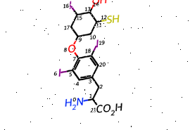 NC(Cc1cc(I)c(OC2CC(S)C(O)C(I)C2)c(I)c1)C(=O)O